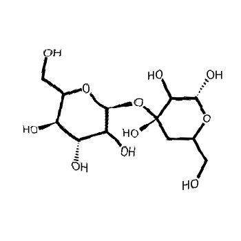 OCC1C[C@](O)(O[C@@H]2OC(CO)[C@H](O)[C@@H](O)C2O)C(O)[C@H](O)O1